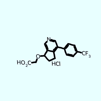 Cl.O=C(O)COC1CCc2c(-c3ccc(C(F)(F)F)cc3)cncc21